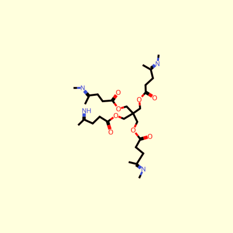 C/N=C(\C)CCC(=O)OCC(COC(=O)CCC(C)=N)(COC(=O)CC/C(C)=N/C)COC(=O)CC/C(C)=N/C